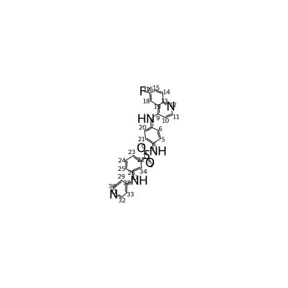 O=S(=O)(Nc1ccc(Nc2ccnc3ccc(F)cc23)cc1)c1cccc(Nc2ccncc2)c1